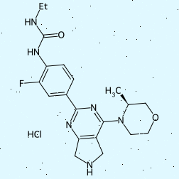 CCNC(=O)Nc1ccc(-c2nc3c(c(N4CCOC[C@@H]4C)n2)CNC3)cc1F.Cl